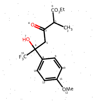 CCOC(=O)C(C)C(=O)CC(O)(c1ccc(OC)cc1)C(F)(F)F